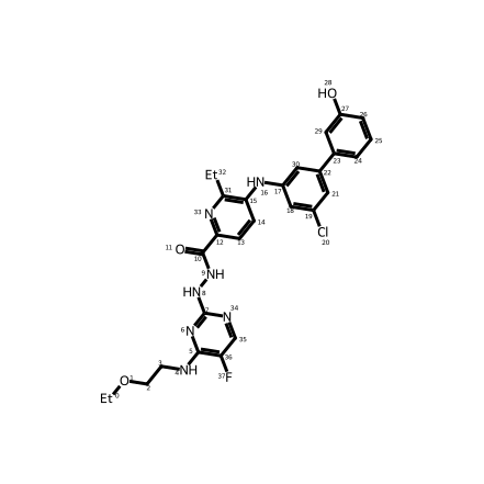 CCOCCNc1nc(NNC(=O)c2ccc(Nc3cc(Cl)cc(-c4cccc(O)c4)c3)c(CC)n2)ncc1F